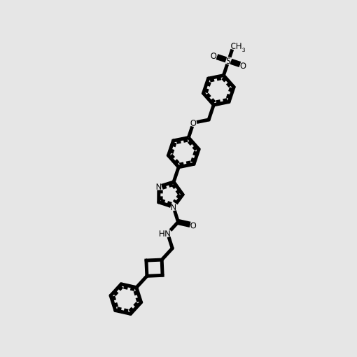 CS(=O)(=O)c1ccc(COc2ccc(-c3cn(C(=O)NCC4CC(c5ccccc5)C4)cn3)cc2)cc1